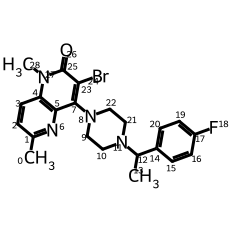 Cc1ccc2c(n1)c(N1CCN(C(C)c3ccc(F)cc3)CC1)c(Br)c(=O)n2C